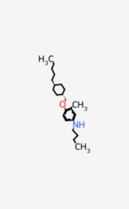 CCCCC[C@H]1CC[C@H](COc2ccc(NCCCC)cc2C)CC1